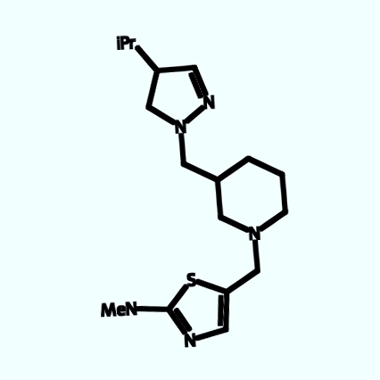 CNc1ncc(CN2CCCC(CN3CC(C(C)C)C=N3)C2)s1